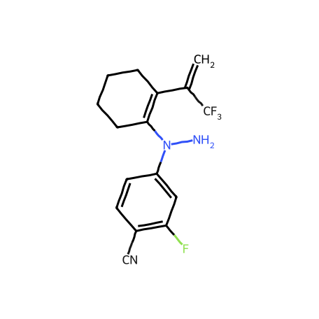 C=C(C1=C(N(N)c2ccc(C#N)c(F)c2)CCCC1)C(F)(F)F